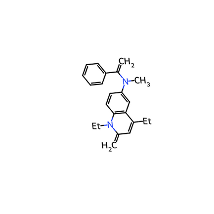 C=C(c1ccccc1)N(C)c1ccc2c(c1)C(CC)=CC(=C)N2CC